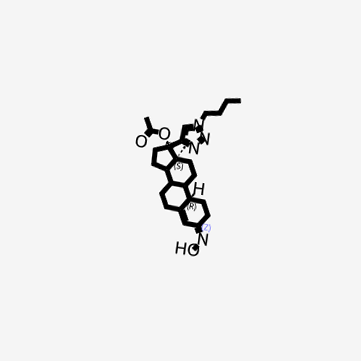 CCCCn1cc([C@]2(OC(C)=O)CCC3C4CCC5=C/C(=N\O)CC[C@@H]5C4CC[C@@]32C)nn1